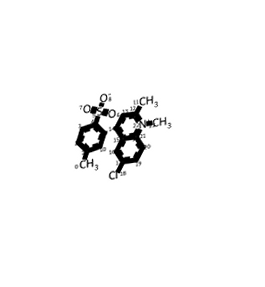 Cc1ccc(S(=O)(=O)[O-])cc1.Cc1ccc2cc(Cl)ccc2[n+]1C